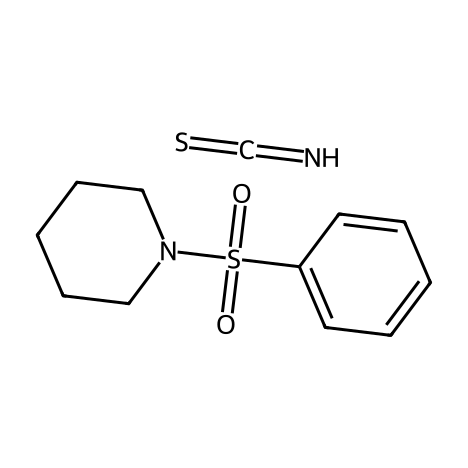 N=C=S.O=S(=O)(c1ccccc1)N1CCCCC1